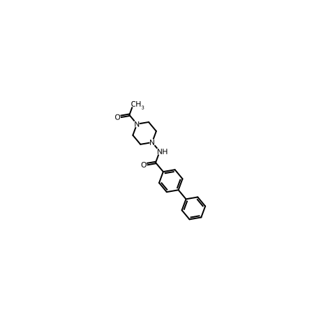 CC(=O)N1CCN(NC(=O)c2ccc(-c3ccccc3)cc2)CC1